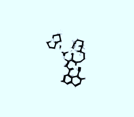 C#Cc1c(F)ccc2cc(O)cc(-c3nc4c5c(nc(OC[C@@]67CCCN6C[C@H](F)C7)nc5c3F)N3C[C@@]5(F)CC[C@](F)(N5)[C@H]3CCC4)c12